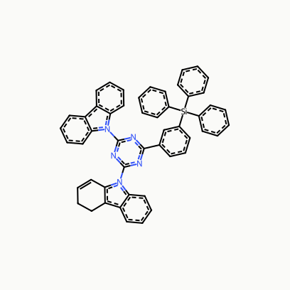 C1=Cc2c(c3ccccc3n2-c2nc(-c3cccc([Si](c4ccccc4)(c4ccccc4)c4ccccc4)c3)nc(-n3c4ccccc4c4ccccc43)n2)CC1